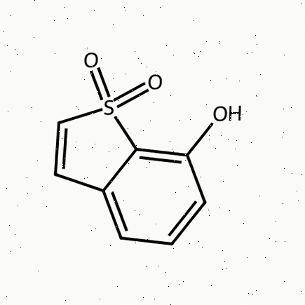 O=S1(=O)C=Cc2cccc(O)c21